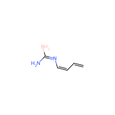 B/C(N)=N/C=C\C=C